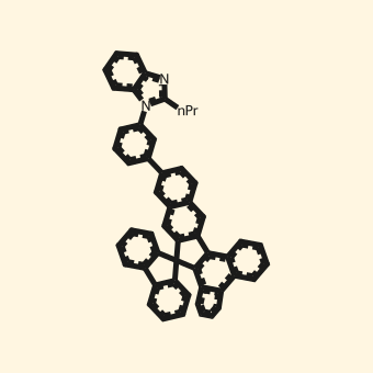 CCCc1nc2ccccc2n1-c1cccc(-c2ccc3cc4c(cc3c2)C2(c3ccccc3-c3ccccc32)c2c-4c3ccccc3c3ccccc23)c1